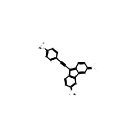 CN(C)c1ccc2c(c1)C1=CC(=[N+](C)C)C=CC1=C2C#Cc1ccc([N+](=O)[O-])cc1